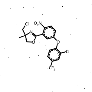 CC1(CCl)COC(c2cc(Oc3ccc(C(F)(F)F)cc3Cl)ccc2[N+](=O)[O-])=N1